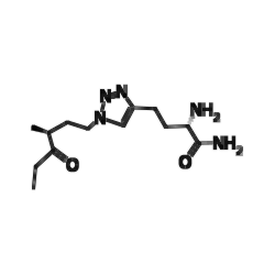 CCC(=O)[C@@H](C)CCn1cc(CC[C@H](N)C(N)=O)nn1